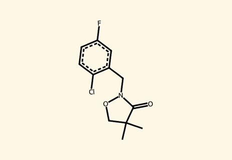 CC1(C)CON(Cc2cc(F)ccc2Cl)C1=O